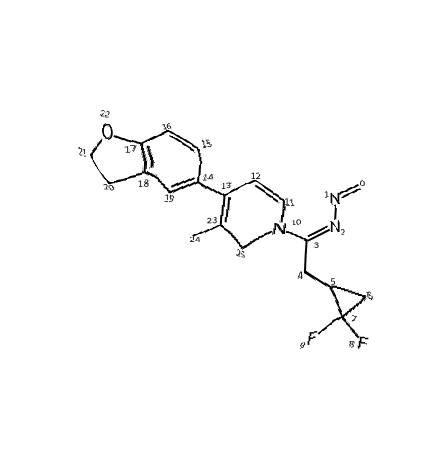 C=N/N=C(/CC1CC1(F)F)N1C=CC(c2ccc3c(c2)CCO3)=C(C)C1